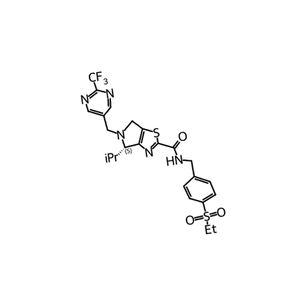 CCS(=O)(=O)c1ccc(CNC(=O)c2nc3c(s2)CN(Cc2cnc(C(F)(F)F)nc2)[C@H]3C(C)C)cc1